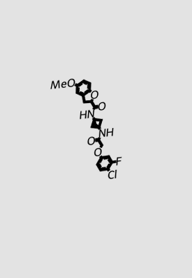 COc1ccc2c(c1)CC(C(=O)NC13CC(NC(=O)COc4ccc(Cl)c(F)c4)(C1)C3)O2